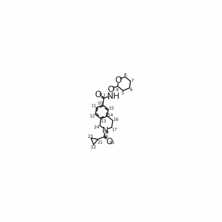 O=C(NOC1CCCCO1)c1ccc2c(c1)CCN(C(=O)C1CC1)C2